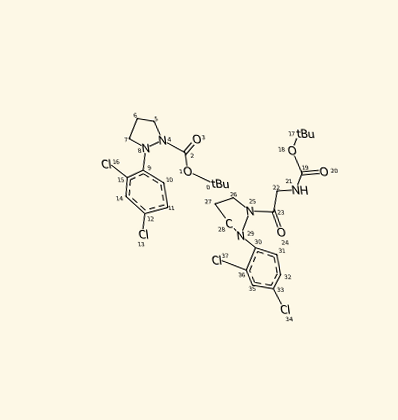 CC(C)(C)OC(=O)N1CCCN1c1ccc(Cl)cc1Cl.CC(C)(C)OC(=O)NCC(=O)N1CCCN1c1ccc(Cl)cc1Cl